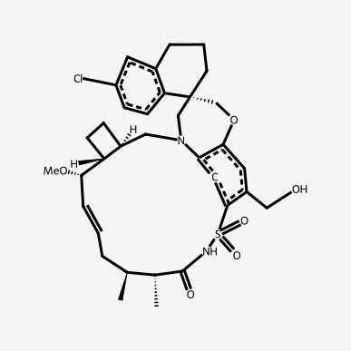 CO[C@H]1/C=C/C[C@H](C)[C@@H](C)C(=O)NS(=O)(=O)c2cc3c(cc2CO)OC[C@]2(CCCc4cc(Cl)ccc42)CN3C[C@@H]2CC[C@H]21